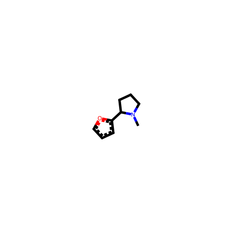 CN1CCCC1c1ccco1